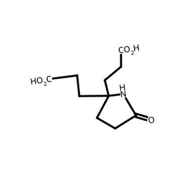 O=C(O)CCC1(CCC(=O)O)CCC(=O)N1